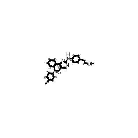 OCCc1ccc(Nc2ncc3c(n2)-c2ccccc2[C@H](c2ccc(F)cc2)C3)cc1